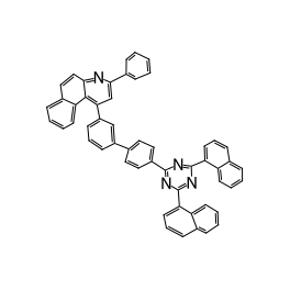 c1ccc(-c2cc(-c3cccc(-c4ccc(-c5nc(-c6cccc7ccccc67)nc(-c6cccc7ccccc67)n5)cc4)c3)c3c(ccc4ccccc43)n2)cc1